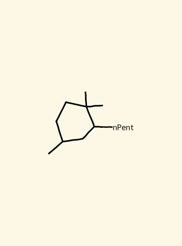 CCCCCC1CC(C)CCC1(C)C